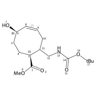 COC(=O)[C@H]1CC[C@@H](O)/C=C\CC1CNC(=O)OC(C)(C)C